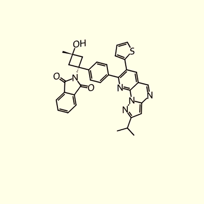 CC(C)c1cc2ncc3cc(-c4cccs4)c(-c4ccc([C@]5(N6C(=O)c7ccccc7C6=O)C[C@@](C)(O)C5)cc4)nc3n2n1